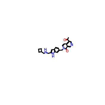 CC(=O)c1cncc2c(=O)n(Cc3ccc4cc(CNCC5CCC5)[nH]c4c3)ccc12